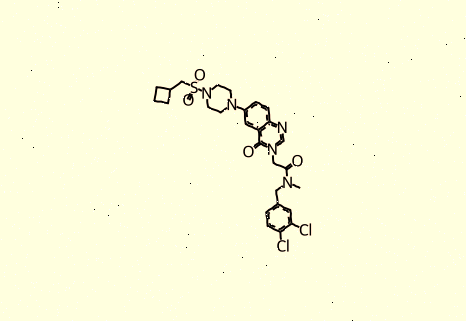 CN(Cc1ccc(Cl)c(Cl)c1)C(=O)Cn1cnc2ccc(N3CCN(S(=O)(=O)CC4CCC4)CC3)cc2c1=O